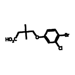 CC(C)(COc1ccc(Br)c(Cl)c1)CC(=O)O